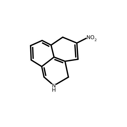 O=[N+]([O-])C1=CC2=c3c(cccc3=CNC2)C1